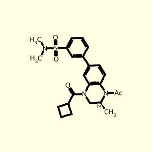 CC(=O)N1c2ccc(-c3cccc(S(=O)(=O)N(C)C)c3)cc2N(C(=O)C2CCC2)C[C@@H]1C